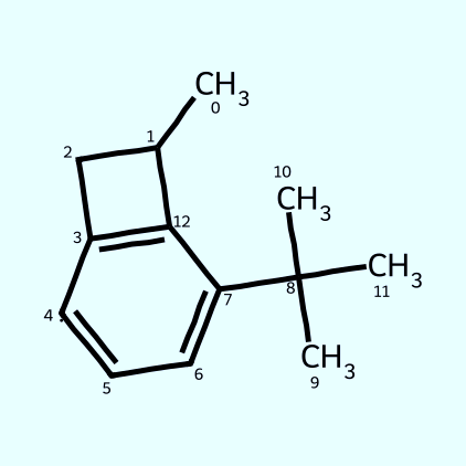 CC1Cc2[c]ccc(C(C)(C)C)c21